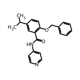 CC(C)c1ccc(OCc2ccccc2)c(C(=O)Nc2ccncc2)c1